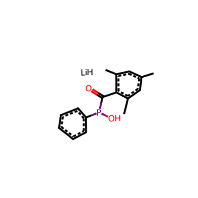 Cc1cc(C)c(C(=O)P(O)c2ccccc2)c(C)c1.[LiH]